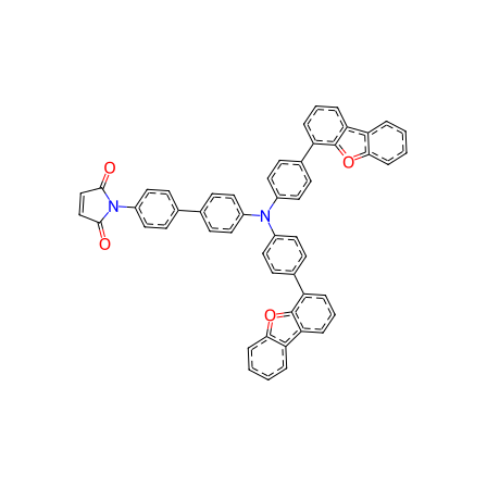 O=C1C=CC(=O)N1c1ccc(-c2ccc(N(c3ccc(-c4cccc5c4oc4ccccc45)cc3)c3ccc(-c4cccc5c4oc4ccccc45)cc3)cc2)cc1